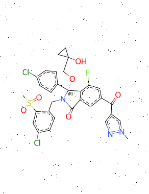 Cn1cc(C(=O)c2cc(F)c3c(c2)C(=O)N(Cc2ccc(Cl)cc2S(C)(=O)=O)[C@@]3(OCC2(O)CC2)c2ccc(Cl)cc2)cn1